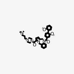 COc1ccccc1-c1ccc(C(=O)N2Cc3ccc(C(=O)N4CCN(CCCN(C)C)CC4)n3Cc3ccccc32)cc1OC